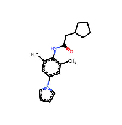 Cc1cc(-n2cccc2)cc(C)c1NC(=O)CC1CCCC1